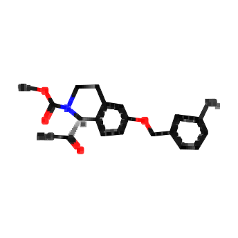 COC(=O)[C@H]1c2ccc(OCc3cccc([N+](=O)[O-])c3)cc2CCN1C(=O)OC(C)(C)C